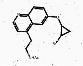 CC(=O)NCCc1ccnc2ccc(OC3CC3Br)cc12